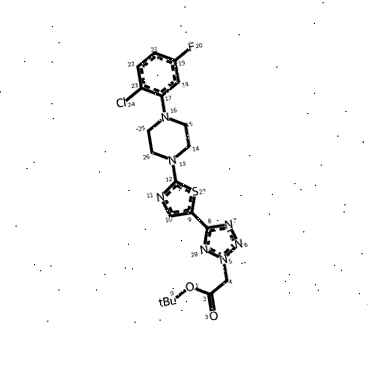 CC(C)(C)OC(=O)Cn1nnc(-c2cnc(N3CCN(c4cc(F)ccc4Cl)CC3)s2)n1